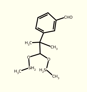 C[SiH2]OC(O[SiH2]C)C(C)(C)c1cccc(C=O)c1